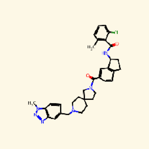 Cc1cccc(Cl)c1C(=O)NC1CCc2ccc(C(=O)N3CCC4(CCN(Cc5ccc6c(c5)nnn6C)CC4)C3)cc21